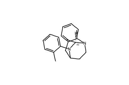 Cc1ccccc1N1C2CCN(c3ccccc3C2)[C@@H]1C